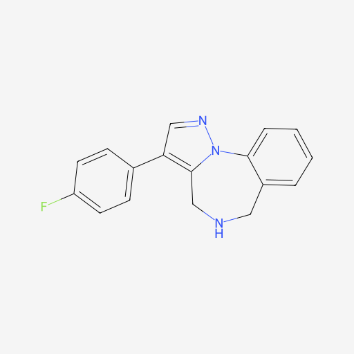 Fc1ccc(-c2cnn3c2CNCc2ccccc2-3)cc1